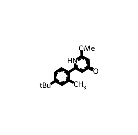 COc1cc(=O)cc(-c2ccc(C(C)(C)C)cc2C)[nH]1